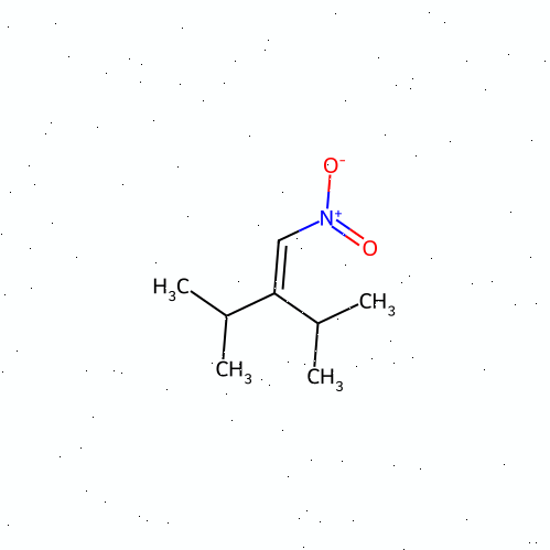 CC(C)C(=C[N+](=O)[O-])C(C)C